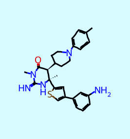 Cc1ccc(N2CCC([C@@H]3C(=O)N(C)C(=N)N[C@]3(C)c3cc(-c4cccc(N)c4)cs3)CC2)cc1